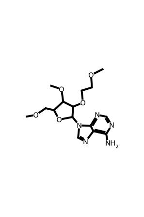 COCCOC1C(OC)C(COC)OC1n1cnc2c(N)ncnc21